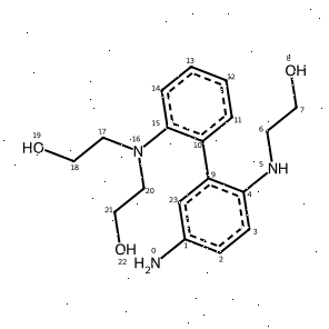 Nc1ccc(NCCO)c(-c2ccccc2N(CCO)CCO)c1